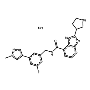 Cl.Cn1cc(-c2cc(F)cc(CNC(=O)c3ncnc4nc(C5CCNC5)[nH]c34)c2)cn1